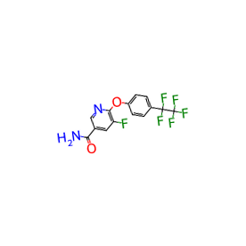 NC(=O)c1cnc(Oc2ccc(C(F)(F)C(F)(F)F)cc2)c(F)c1